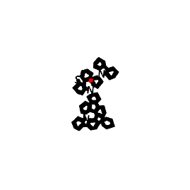 c1ccc2c(c1)-c1c(-c3ccc(N(c4ccc(-n5c6ccccc6c6ccccc65)cc4)c4cccc5sc6ccccc6c45)cc3)ccc3c1-c1c(ccc4c5ccccc5n-2c14)C31CCCCC1